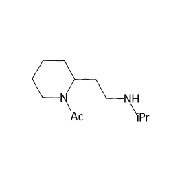 CC(=O)N1CCCCC1CCNC(C)C